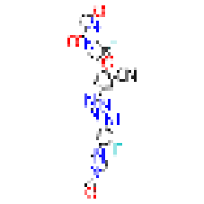 CN1C(=O)CCC1C(=O)N1CC[C@H](Oc2ccc(-c3ncnc(Nc4ccc(N5CCN(C6COC6)CC5)c(F)c4)n3)cc2C#N)[C@H](F)C1